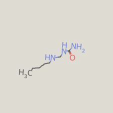 CCCCCNCNC(N)=O